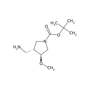 CO[C@@H]1CN(C(=O)OC(C)(C)C)C[C@H]1CN